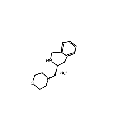 Cl.c1ccc2c(c1)CN[C@H](CN1CCOCC1)C2